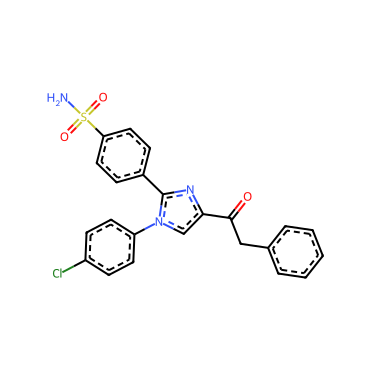 NS(=O)(=O)c1ccc(-c2nc(C(=O)Cc3ccccc3)cn2-c2ccc(Cl)cc2)cc1